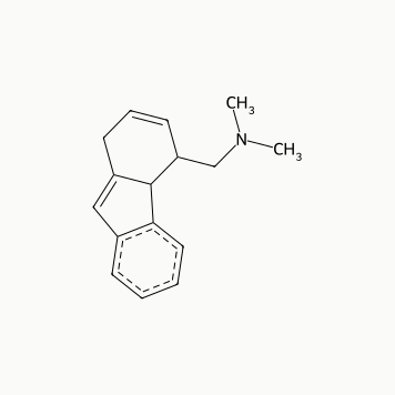 CN(C)CC1C=CCC2=Cc3ccccc3C21